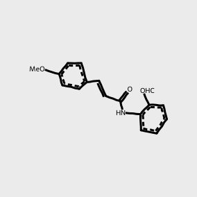 COc1ccc(/C=C/C(=O)Nc2ccccc2C=O)cc1